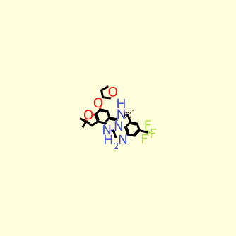 Cc1nc(N[C@H](C)c2cc(N)cc(C(F)(F)F)c2)c2cc(OC3CCOC3)c3c(c2n1)CC(C)(C)O3